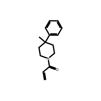 C=CC(=O)N1CCC(C)(c2ccccc2)CC1